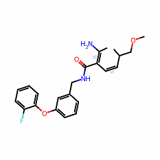 COCC(C)/C=C\C(C(=O)NCc1cccc(Oc2ccccc2F)c1)=C(/C)N